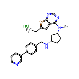 CCN(c1ncnc2sc(CC(F)(F)F)cc12)[C@@H]1CC[C@H](NCc2ccc(-c3cccnc3)cc2)C1.Cl